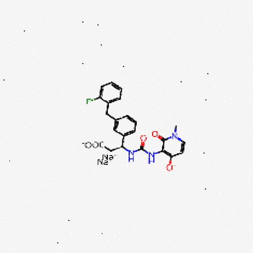 Cn1ccc([O-])c(NC(=O)N[C@@H](CC(=O)[O-])c2cccc(Cc3ccccc3F)c2)c1=O.[Na+].[Na+]